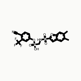 Cc1cc2cc(S(=O)(=O)NCP(=O)(O)Oc3ccc(C#N)c(C(F)(F)F)c3)oc2cc1C